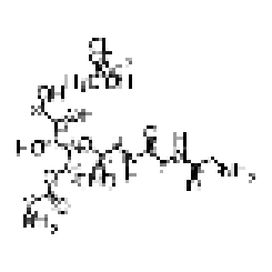 CO.NCC(=O)NCC(=O)NCC(=O)O[C@@H]([C@H](O)[C@H](O)CO)[C@H](C=O)OC(=O)CN.[Cl-].[Cl-].[Mg+2]